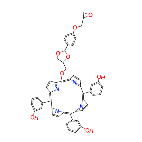 Oc1cccc(C2=C3C=CC(=N3)C(OCC3COC(c4ccc(OCC5CO5)cc4)O3)=C3C=CC(=N3)C(c3cccc(O)c3)=C3C=CC(=N3)C(c3cccc(O)c3)=C3C=CC2=N3)c1